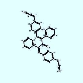 [N-]=[N+]=Nc1ccc(C=C(C(=O)C(=Cc2ccc(N=[N+]=[N-])cc2)c2ccccc2)c2ccccc2)cc1